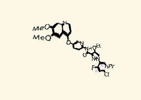 CCC/C=C(\C(F)=C/CCl)n1cc(OCC)c(C(=O)NC2=NC=C(Oc3ccnc4cc(OC)c(OC)cc34)CC2)n1